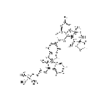 C[C@@]1(c2cc(F)cc(F)c2)CNC2(CCCC2)C(=O)N1CCSc1ccc2c(c1)C[C@@]1(C2)C(=O)N(COCC[Si](C)(C)C)c2ncccc21